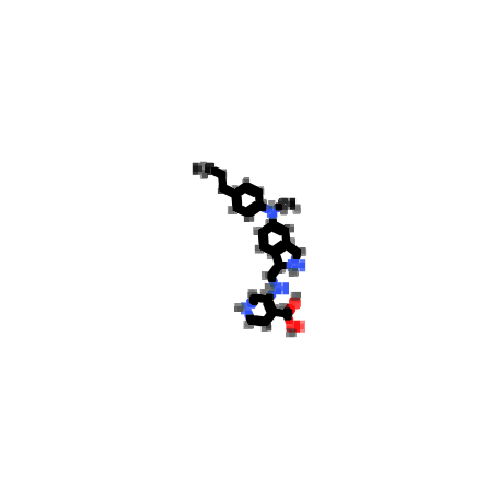 CCCc1ccc(N(C)c2ccc3c(c2)CNC3CNc2cnccc2C(=O)O)cc1